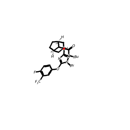 CC(C)n1nc(NC2[C@@H]3CC[C@H]2CN(C(=O)OC(C)(C)C)C3)nc1Oc1ccc(F)c(C(F)(F)F)c1